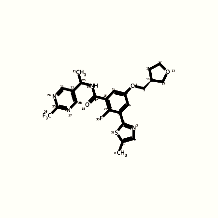 Cc1cnc(-c2cc(OC[C@H]3CCOC3)cc(C(=O)NC(C)c3cnc(C(F)(F)F)nc3)c2F)s1